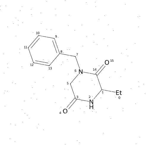 CCC1NC(=O)CN(Cc2ccccc2)C1=O